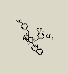 N#Cc1ccc(Cn2cnnc2CN(Cc2cc(C(F)(F)F)cc(C(F)(F)F)c2)C(=O)c2ccc3ccccc3n2)cc1